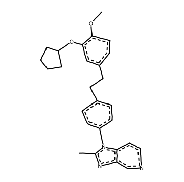 COc1ccc(CCc2ccc(-n3c(C)nc4cnccc43)cc2)cc1OC1CCCC1